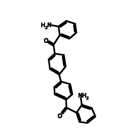 Nc1ccccc1C(=O)c1ccc(-c2ccc(C(=O)c3ccccc3N)cc2)cc1